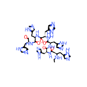 CCNC(Cc1cnc[nH]1)C(=O)N[C@@H](Cc1cnc[nH]1)C(=O)NC(Cc1cnc[nH]1)C(=O)N[C@@H](Cc1cnc[nH]1)C(=O)NC(Cc1cnc[nH]1)C(=O)N[C@H](C=O)Cc1cnc[nH]1